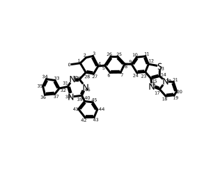 CC1CC=C(c2ccc(-c3ccc4sc5c(nc6ccccn65)c4c3)cc2)C=C1c1nc(-c2ccccc2)nc(-c2ccccc2)n1